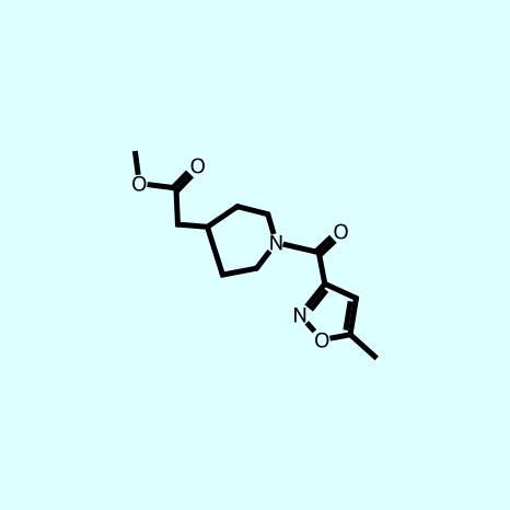 COC(=O)CC1CCN(C(=O)c2cc(C)on2)CC1